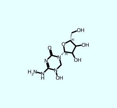 NNC1=NC(=O)N([C@@H]2O[C@H](CO)C(O)C2O)CN1O